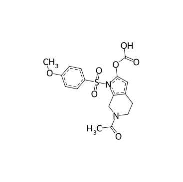 COc1ccc(S(=O)(=O)n2c(OC(=O)O)cc3c2CN(C(C)=O)CC3)cc1